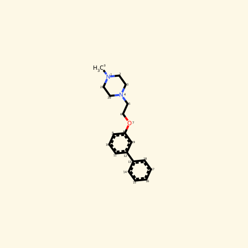 CN1CCN(CCOc2[c]ccc(-c3ccccc3)c2)CC1